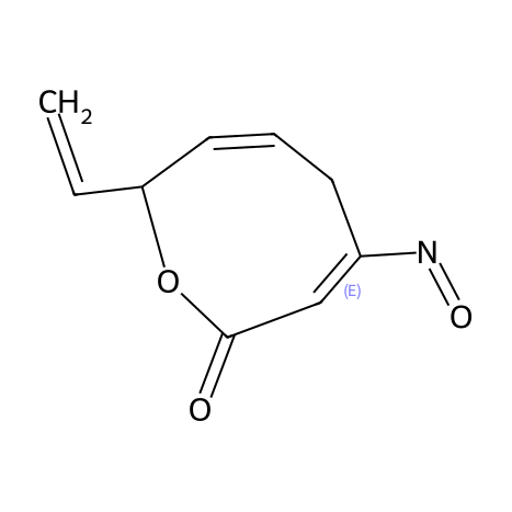 C=CC1C=CC/C(N=O)=C\C(=O)O1